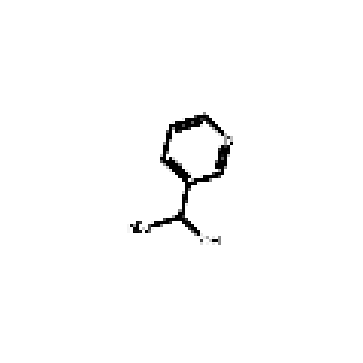 CCCCC(O)c1cccnc1